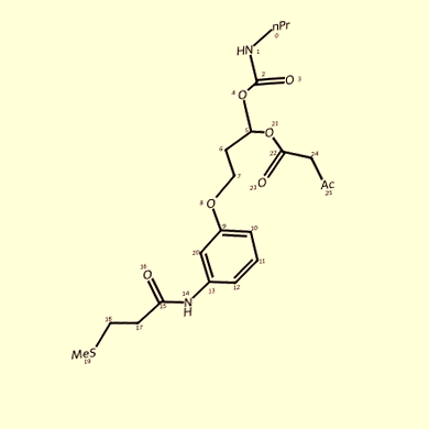 CCCNC(=O)OC(CCOc1cccc(NC(=O)CCSC)c1)OC(=O)CC(C)=O